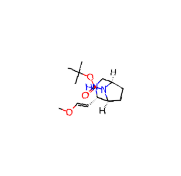 COC=C[C@@H]1NC[C@H]2CC[C@@H]1N2C(=O)OC(C)(C)C